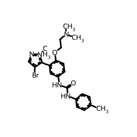 Cc1ccc(NC(=O)Nc2ccc(OCCN(C)C)c(-c3c(Br)cnn3C)c2)cc1